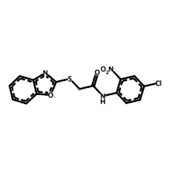 O=C(CSc1nc2ccccc2o1)Nc1ccc(Cl)cc1[N+](=O)[O-]